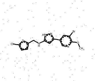 COc1ncc(-c2cc(NCc3ccc(Cl)s3)[nH]n2)cc1Br